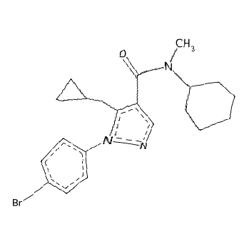 CN(C(=O)c1cnn(-c2ccc(Br)cc2)c1C1CC1)C1CCCCC1